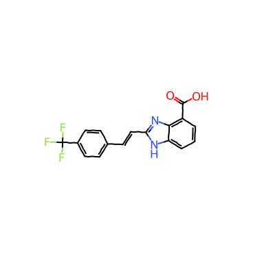 O=C(O)c1cccc2[nH]c(/C=C/c3ccc(C(F)(F)F)cc3)nc12